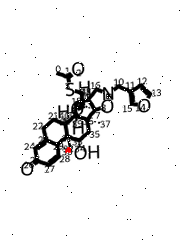 CC(=O)SCC(=O)[C@@]12ON(Cc3ccoc3)C[C@@H]1C[C@H]1[C@@H]3CCC4=CC(=O)C=C[C@]4(C)[C@@]3(C)[C@@H](O)C[C@@]12C